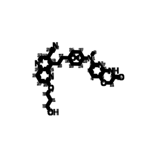 CN(c1ccc2c(n1)NC(=O)CO2)C12CCC(CCc3c(C#N)cnc4ccc(OCCCO)nc34)(CC1)OC2